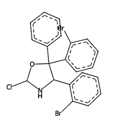 ClC1NC(c2ccccc2Br)C(c2ccccc2)(c2ccccc2Br)O1